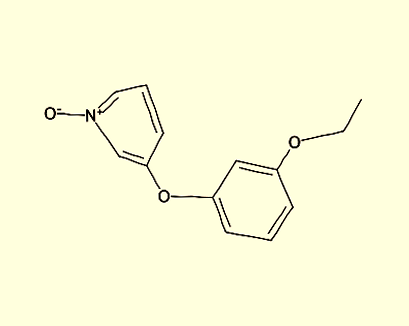 CCOc1cccc(Oc2ccc[n+]([O-])c2)c1